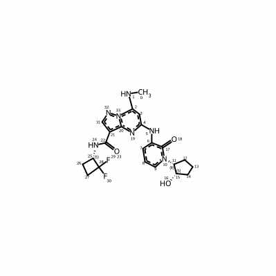 CNc1cc(Nc2cccn([C@@H]3CCC[C@@H]3O)c2=O)nc2c(C(=O)N[C@H]3CCC3(F)F)cnn12